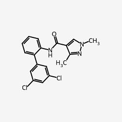 Cc1nn(C)cc1C(=O)Nc1ccccc1-c1cc(Cl)cc(Cl)c1